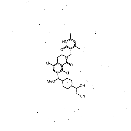 COC(c1cc(Cl)c2c(c1Cl)C(=O)N(Cc1c(C)cc(C)[nH]c1=O)CC2)C1CCN(C(O)CC#N)CC1